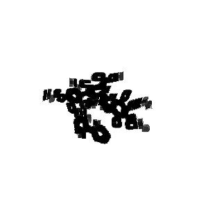 COC1=C(N)C(=O)c2nc(-c3nc(C(=O)O)c(C)c(-c4ccc(OC)c(OC)c4O)c3N)ccc2C1=O.c1ccc(-c2ccccn2)nc1